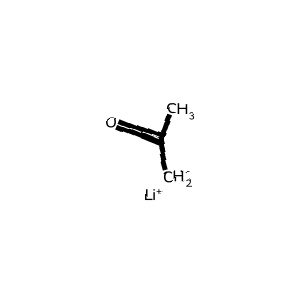 [CH2-]C(C)=O.[Li+]